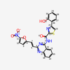 O=C(Nc1nc(/C=C/c2ccc([N+](=O)[O-])o2)nc2ccccc12)c1nc(-c2ccccc2O)cs1